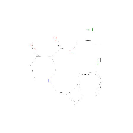 CCOC(=O)C1CN(CC2=Cc3ccc(Cl)cc32)CCC1=O.Cl